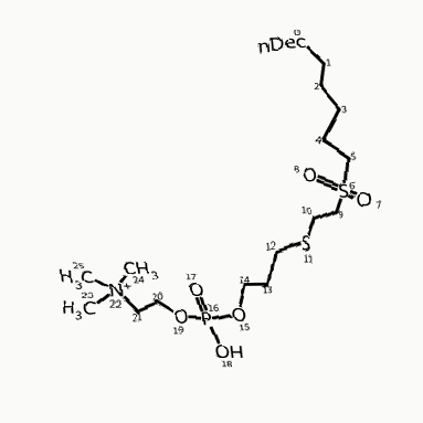 CCCCCCCCCCCCCCCS(=O)(=O)CCSCCCOP(=O)(O)OCC[N+](C)(C)C